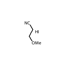 COCCC#N.I